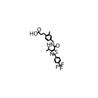 Cc1cc(CNC(=O)c2sc(-c3ccc(C(F)(F)F)cc3)nc2C(C)C)ccc1CCC(=O)O